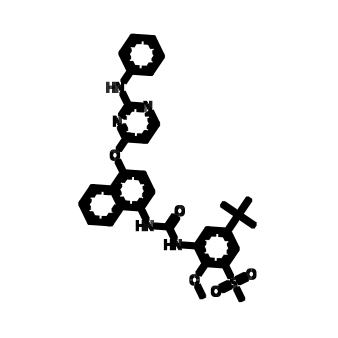 COc1c(NC(=O)Nc2ccc(Oc3ccnc(Nc4ccccc4)n3)c3ccccc23)cc(C(C)(C)C)cc1S(C)(=O)=O